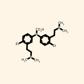 CCc1ccc(N(C(=O)O)c2ccc(CC)c(CCN(C)C)c2)cc1CCN(C)C